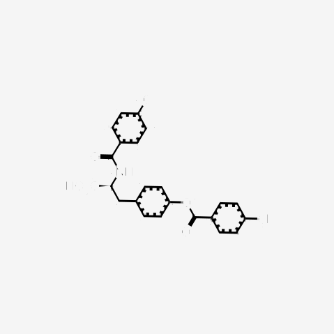 O=C(N[C@@H](Cc1ccc(OC(=O)c2ccc(Cl)cc2)cc1)C(=O)O)c1ccc(Cl)cc1